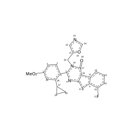 COc1ccc(-c2nc3sc4c(F)cccc4c3c(=O)n2Cc2cnco2)c(C2CC2)c1